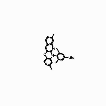 Cc1ccc2c(c1)N(c1c(C)cc(C(C)(C)C)cc1C)c1nc3cc(C)ccc3cc1O2